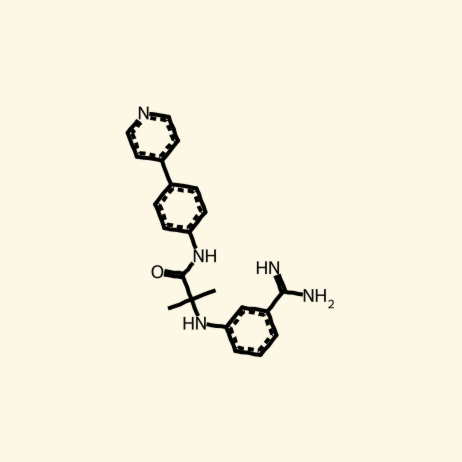 CC(C)(Nc1cccc(C(=N)N)c1)C(=O)Nc1ccc(-c2ccncc2)cc1